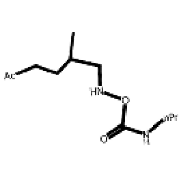 CCCNC(=O)ONCC(C)CCC(C)=O